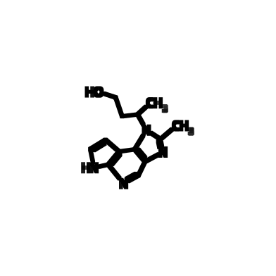 Cc1nc2cnc3[nH]ccc3c2n1C(C)CCO